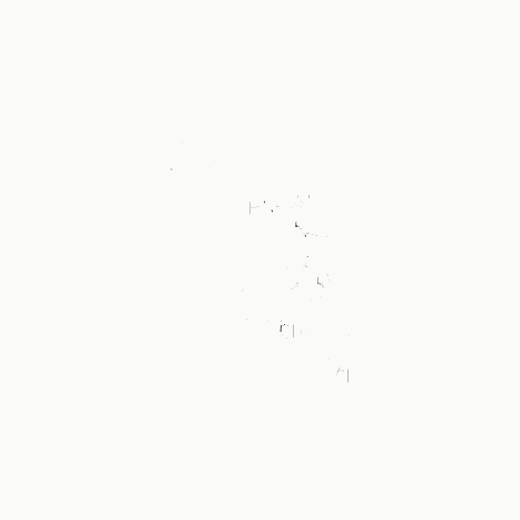 O=C(NCCCc1ccccc1)N1CC(OC(c2ccc(Cl)cc2)c2ccccc2Cl)C1